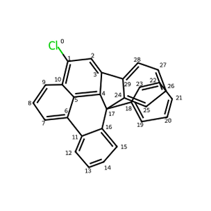 Clc1cc2c3c4c(cccc14)-c1ccccc1C3(c1ccccc1)c1ccccc1-2